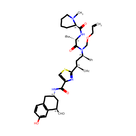 C=CCOCN(C(=O)[C@@H](NC(=O)[C@H]1CCCCN1C)C(C)CC)[C@H](C[C@@H](OC(C)=O)c1nc(C(=O)N[C@H]2Cc3ccc(O)cc3[C@H](C=O)C2)cs1)C(C)C